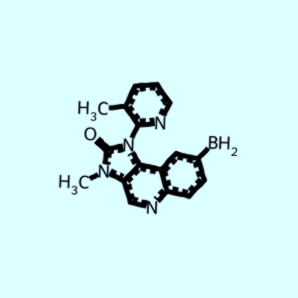 Bc1ccc2ncc3c(c2c1)n(-c1ncccc1C)c(=O)n3C